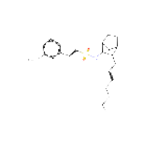 COc1cccc(/C=C/S(=O)(=O)NC2C3CCC(C3)C2C/C=C/CCCC(=O)O)c1